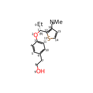 CC[C@@H](Oc1ccc(CCO)cc1)c1sccc1NC